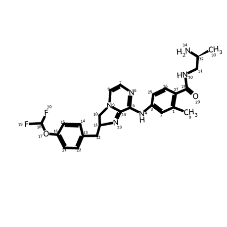 Cc1cc(NC2=NC=CN3CC(Cc4ccc(OC(F)F)cc4)N=C23)ccc1C(=O)NC[C@H](C)N